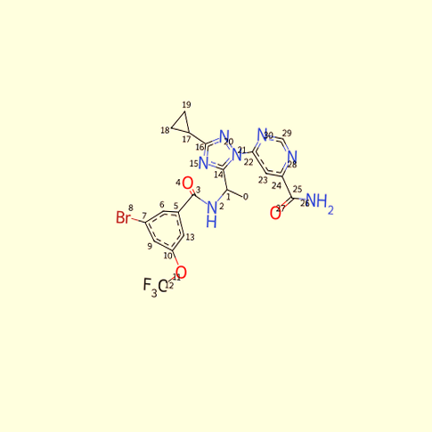 CC(NC(=O)c1cc(Br)cc(OC(F)(F)F)c1)c1nc(C2CC2)nn1-c1cc(C(N)=O)ncn1